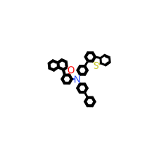 C1=CC2Sc3c(-c4ccc(N(c5ccc(-c6ccccc6)cc5)c5cccc6c5oc5ccc7ccccc7c56)cc4)cccc3C2C=C1